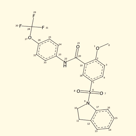 COc1ccc(S(=O)(=O)N2CCc3ccccc32)cc1C(=O)Nc1ccc(OC(F)(F)F)cc1